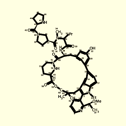 CCn1c(-c2cccnc2[C@H](C)OC)c2c3cc(ccc31)-c1cc(O)cc(c1)C[C@H](NC(=O)C(C(C)C)N(C)C(=O)[C@H]1CCN(C(=O)[C@H]3CCCN3)C1)C(=O)N1CCC[C@H](N1)C(=O)OCC(C)(C)C2